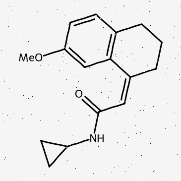 COc1ccc2c(c1)/C(=C\C(=O)NC1CC1)CCC2